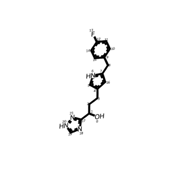 OC(CCc1c[nH]c(Cc2ccc(F)cc2)c1)c1nc[nH]n1